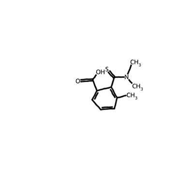 Cc1cccc(C(=O)O)c1C(=S)N(C)C